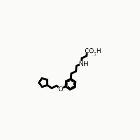 O=C(O)CCNCCCc1cccc(OCCC2CCCC2)c1